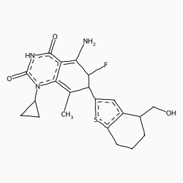 CC1=c2c(c(=O)[nH]c(=O)n2C2CC2)=C(N)C(F)C1c1cc2c(s1)CCCC2CO